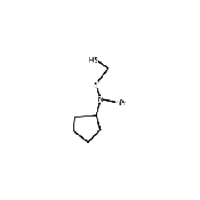 CCCN(SCS)C1CCCC1